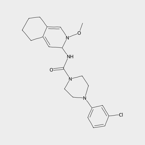 CON1C=C2CCCCC2=CC1NC(=O)N1CCN(c2cccc(Cl)c2)CC1